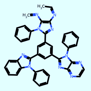 C=Nc1c(/N=C\C)nc(-c2cc(-c3nc4ccccc4n3-c3ccccc3)cc(-c3nc4nccnc4n3-c3ccccc3)c2)n1-c1ccccc1